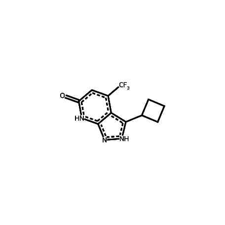 O=c1cc(C(F)(F)F)c2c(C3CCC3)[nH]nc2[nH]1